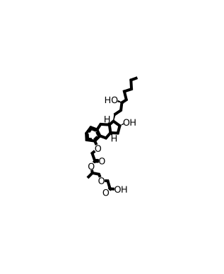 CCCCC[C@H](O)CC[C@@H]1[C@H]2Cc3cccc(OCC(=O)OC(C)COCC(=O)O)c3C[C@H]2C[C@H]1O